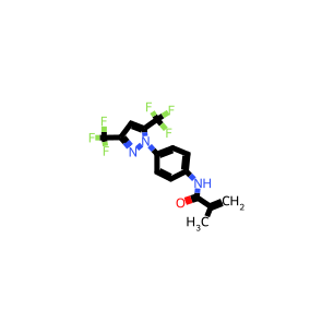 C=C(C)C(=O)Nc1ccc(-n2nc(C(F)(F)F)cc2C(F)(F)F)cc1